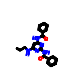 CCCNc1cc(NC(=O)c2ccccc2)nc(NC(=O)c2ccccc2)n1